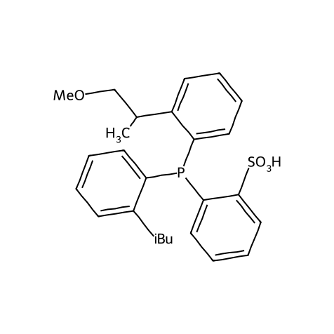 CCC(C)c1ccccc1P(c1ccccc1C(C)COC)c1ccccc1S(=O)(=O)O